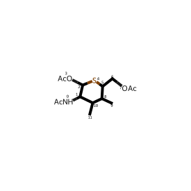 CC(=O)NC1C(OC(C)=O)SC(COC(C)=O)C(C)C1C